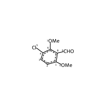 COc1ccc(Cl)c(OC)c1C=O